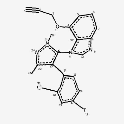 C#CCOc1cccc2ncn(-c3c(-c4ccc(F)cc4Cl)c(C)nn3C)c12